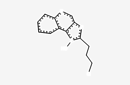 On1c(CCCCl)nc2cnc3ccccc3c21